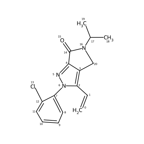 C=Cc1c2c(nn1-c1ccccc1Cl)C(=O)N(C(C)C)C2